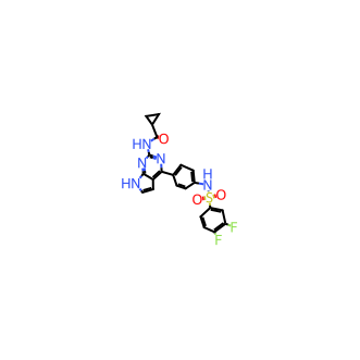 O=C(Nc1nc(-c2ccc(NS(=O)(=O)c3ccc(F)c(F)c3)cc2)c2cc[nH]c2n1)C1CC1